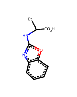 CCC(Nc1nc2ccccc2o1)C(=O)O